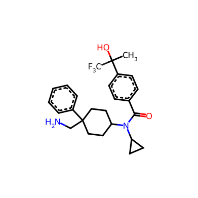 CC(O)(c1ccc(C(=O)N(C2CC2)C2CCC(CN)(c3ccccc3)CC2)cc1)C(F)(F)F